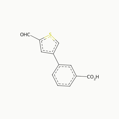 O=Cc1cc(-c2cccc(C(=O)O)c2)cs1